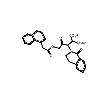 CC(=O)NC(C(=O)O)C(C(=O)COC(=O)Cc1cccc2ccccc12)N1CCc2ccccc2C1=O